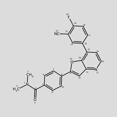 CN(C)C(=O)c1ccc(-c2cc3nccc(-c4ccc(F)c(C#N)c4)c3o2)cc1